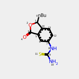 CCCCC1OC(=O)c2cc(NC(N)=S)ccc21